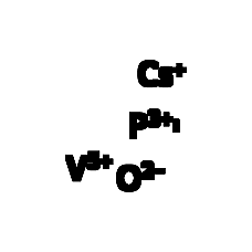 [Cs+].[O-2].[P+3].[V+5]